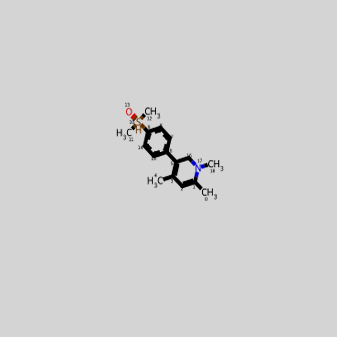 CC1=CC(C)=C(c2ccc([SH](C)(C)=O)cc2)CN1C